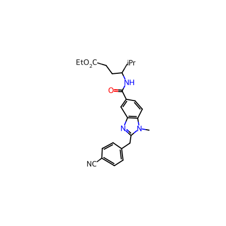 CCOC(=O)CCC(NC(=O)c1ccc2c(c1)nc(Cc1ccc(C#N)cc1)n2C)C(C)C